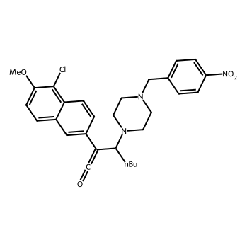 CCCCC(C(=C=O)c1ccc2c(Cl)c(OC)ccc2c1)N1CCN(Cc2ccc([N+](=O)[O-])cc2)CC1